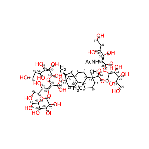 C=C1CC23CCC4C(C)(CCC[C@@]4(C)C(=O)OC4OC(CO)C(O)C(O)C4OC(O)/C(NC(C)=O)=C(\O)C(O)CCO)C2CC[C@]1(OC(O)/C(OC(O)/C(O)=C(/O)C(O)CCO)=C(\OC1OC(CO)C(O)C(O)C1O)C(O)CCO)C3